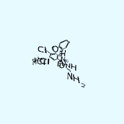 CC[C@H](N[C@H](C)C(=O)NCCN)c1ccc(Cl)c(Oc2ccccc2)c1F.Cl.Cl